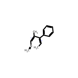 C=N/C=C(C)\C(=C/C)c1ccccc1